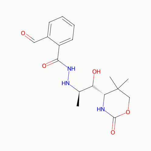 C[C@@H](NNC(=O)c1ccccc1C=O)C(O)[C@H]1NC(=O)OCC1(C)C